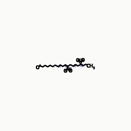 CC/C=C(/C/C=C/C/C(=C/C/C=C/CCCCCC[C]=O)[N+](=O)[O-])[N+](=O)[O-]